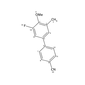 COc1c(C)cc(-c2ccc(C#N)cc2)cc1F